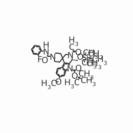 COc1ccc2c3c(n(C(=O)OC(C)(C)C)c2c1)[C@H](CO[Si](C)(C)C(C)(C)C)N(C(C)=O)CC31CCN(C(=O)Nc2ccccc2F)CC1